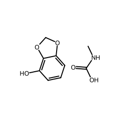 CNC(=O)O.Oc1cccc2c1OCO2